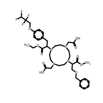 CCOC(=O)C(Cc1ccc(OCC(F)(F)C(F)F)cc1)N1CCN(CC(=O)O)CCN(C(COCc2ccccc2)C(=O)OC)CCN(CC(=O)O)CC1